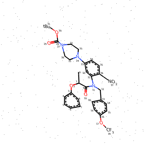 CC(Oc1ccccc1)C(=O)N(Cc1ccc(OC(F)(F)F)cc1)c1cc(N2CCN(C(=O)OC(C)(C)C)CC2)ccc1[N+](=O)[O-]